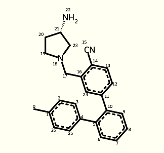 Cc1ccc(-c2ccccc2-c2ccc(C#N)c(CN3CC[C@H](N)C3)c2)cc1